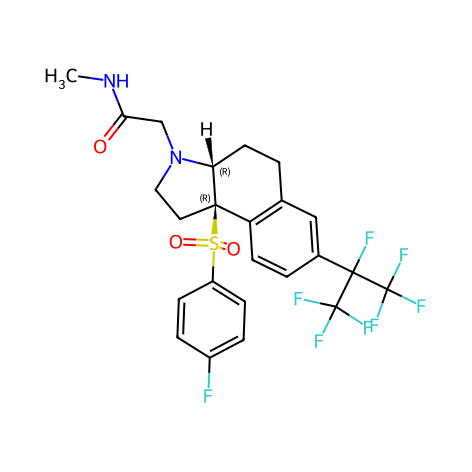 CNC(=O)CN1CC[C@@]2(S(=O)(=O)c3ccc(F)cc3)c3ccc(C(F)(C(F)(F)F)C(F)(F)F)cc3CC[C@@H]12